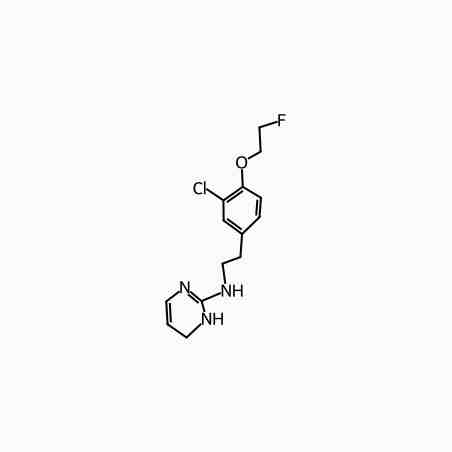 FCCOc1ccc(CCNC2=NC=CCN2)cc1Cl